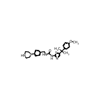 COc1ccc(C(C)(C)c2cnc(NC(=O)NCc3ccc(N4CCNCC4)cc3)s2)cc1